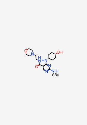 CCCCNc1ncc(C(=O)NCCN2CCOCC2)c(N[C@H]2CC[C@H](O)CC2)n1